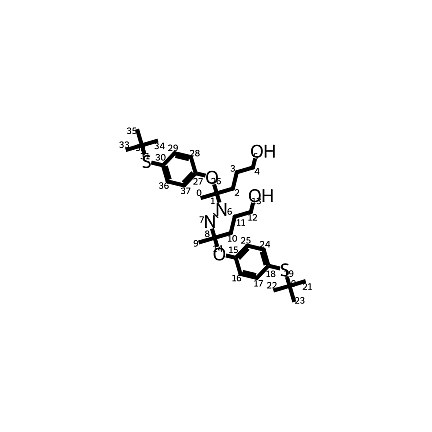 CC(CCCO)(N=NC(C)(CCCO)Oc1ccc(SC(C)(C)C)cc1)Oc1ccc(SC(C)(C)C)cc1